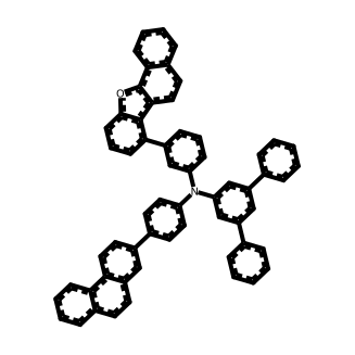 c1ccc(-c2cc(-c3ccccc3)cc(N(c3ccc(-c4ccc5c(ccc6ccccc65)c4)cc3)c3cccc(-c4cccc5oc6c7ccccc7ccc6c45)c3)c2)cc1